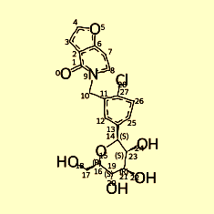 O=c1c2ccoc2ccn1Cc1cc([C@@H]2O[C@H](CO)[C@@H](O)[C@H](O)[C@@H]2O)ccc1Cl